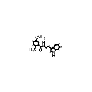 [CH2]c1ccc(OC)cc1C(=O)NCCc1c[nH]c2ccccc12